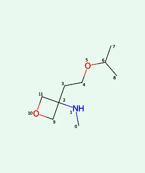 CNC1(CCOC(C)C)COC1